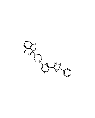 O=S(=O)(c1c(F)cccc1F)N1CCN(c2cncc(-c3nnc(-c4ccccc4)o3)n2)CC1